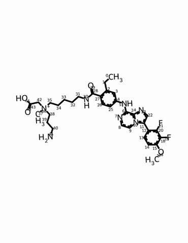 CCc1cc(Nc2nccn3c(-c4ccc(OC)c(F)c4F)cnc23)ccc1C(=O)NCCCCC[N+](C)(CCCN)CC(=O)O